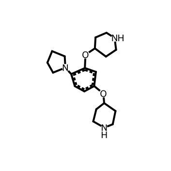 c1cc(N2CCCC2)c(OC2CCNCC2)cc1OC1CCNCC1